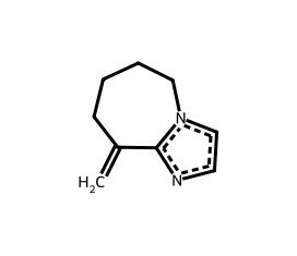 C=C1CCCCn2ccnc21